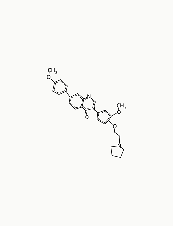 COc1ccc(-c2ccc3c(=O)n(-c4ccc(OCCN5CCCC5)c(OC)c4)cnc3c2)cc1